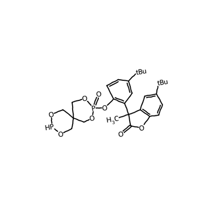 CC(C)(C)c1ccc2c(c1)C(C)(c1cc(C(C)(C)C)ccc1OP1(=O)OCC3(COPOC3)CO1)C(=O)O2